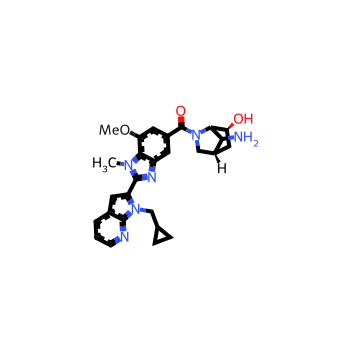 COc1cc(C(=O)N2C[C@H]3C[C@H](O)C2C3N)cc2nc(-c3cc4cccnc4n3CC3CC3)n(C)c12